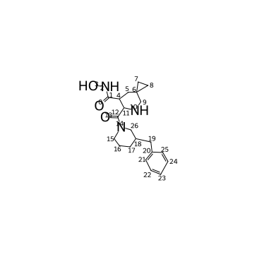 O=C(NO)C1CC2(CC2)CNC1C(=O)N1CCCC(Cc2ccccc2)C1